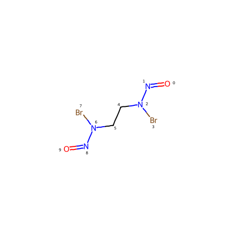 O=NN(Br)CCN(Br)N=O